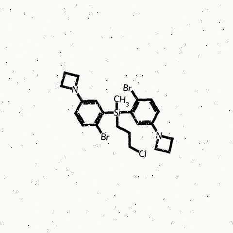 C[Si](CCCCl)(c1cc(N2CCC2)ccc1Br)c1cc(N2CCC2)ccc1Br